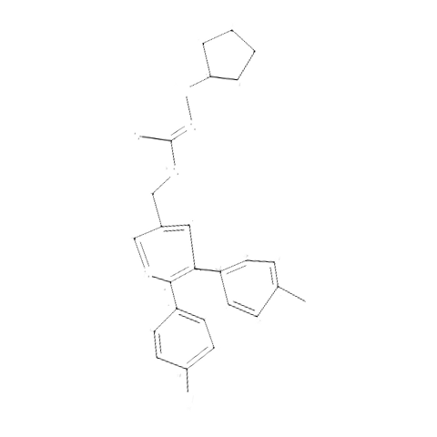 N/C(=N\SC1CCCC1)NCc1cnc(-c2ccc(Cl)cc2)c(-c2ccc(Cl)cc2)c1